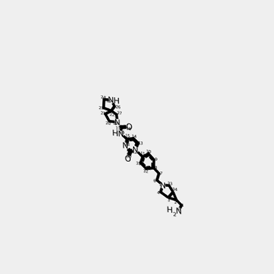 NCC1C2CN(CCc3ccc(-n4ccc(NC(=O)N5CCC6(CCNC6)C5)nc4=O)cc3)CC12